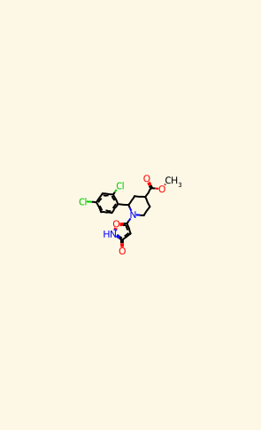 COC(=O)C1CCN(c2cc(=O)[nH]o2)C(c2ccc(Cl)cc2Cl)C1